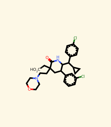 O=C(O)CC1(CCN2CCOCC2)CC(c2cccc(Cl)c2)C(C(c2ccc(Cl)cc2)C2CC2)NC1=O